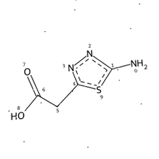 Nc1nnc(CC(=O)O)s1